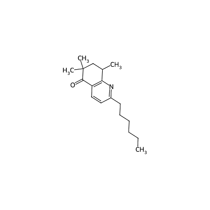 CCCCCCc1ccc2c(n1)C(C)CC(C)(C)C2=O